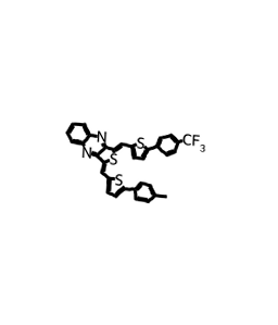 Cc1ccc(-c2ccc(/C=c3\s/c(=C\c4ccc(-c5ccc(C(F)(F)F)cc5)s4)c4nc5ccccc5nc34)s2)cc1